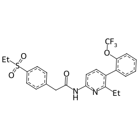 CCc1nc(NC(=O)Cc2ccc(S(=O)(=O)CC)cc2)ccc1-c1ccccc1OC(F)(F)F